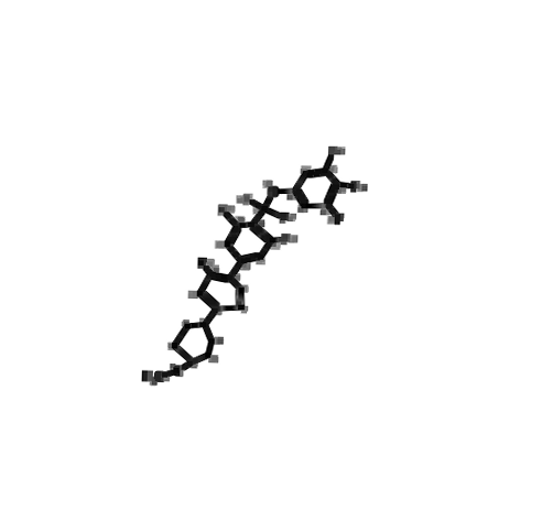 CCC1CCC(c2ccc(-c3cc(F)c(C(F)(F)Oc4cc(F)c(F)c(F)c4)c(F)c3)c(F)c2)CC1